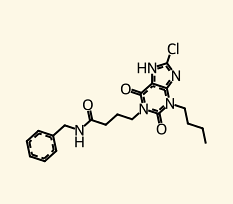 CCCCn1c(=O)n(CCCC(=O)NCc2ccccc2)c(=O)c2[nH]c(Cl)nc21